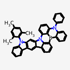 Cc1cc(C)c(-n2c3ccccc3c3cc4c5cccc6c5n(c4cc32)-c2cccc3c2B6c2ccccc2N3c2ccccc2)c(C)c1